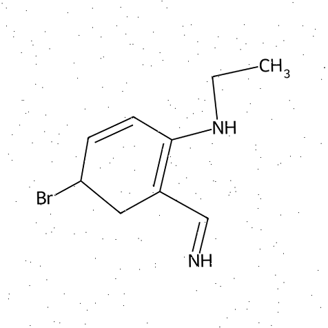 CCNC1=C(C=N)CC(Br)C=C1